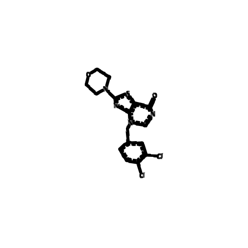 O=c1ncn(Cc2ccc(Cl)c(Cl)c2)c2nc(N3CCOCC3)sc12